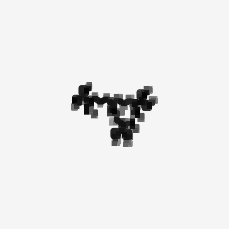 COC(OC)[SiH2]CCC[SiH](CCC[SiH2]C(OC)OC)CCC[SiH2]C(OC)OC